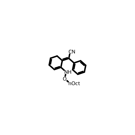 CCCCCCCCONC1=CC=CCC1=C(C#N)c1ccccc1